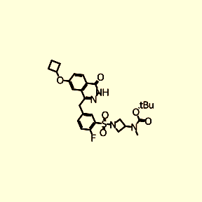 CN(C(=O)OC(C)(C)C)C1CN(S(=O)(=O)c2cc(Cc3n[nH]c(=O)c4ccc(OC5CCC5)cc34)ccc2F)C1